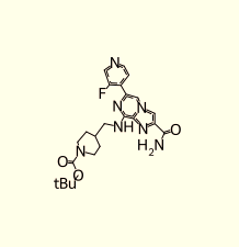 CC(C)(C)OC(=O)N1CCC(CNc2nc(-c3ccncc3F)cn3cc(C(N)=O)nc23)CC1